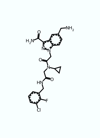 NCc1ccc2c(c1)c(C(N)=O)nn2CC(=O)N(CC(=O)NCc1cccc(Cl)c1F)C1CC1